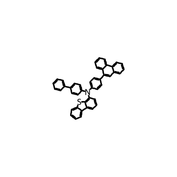 c1ccc(-c2ccc(N(c3ccc(-c4cc5ccccc5c5ccccc45)cc3)c3cccc4c3sc3ccccc34)cc2)cc1